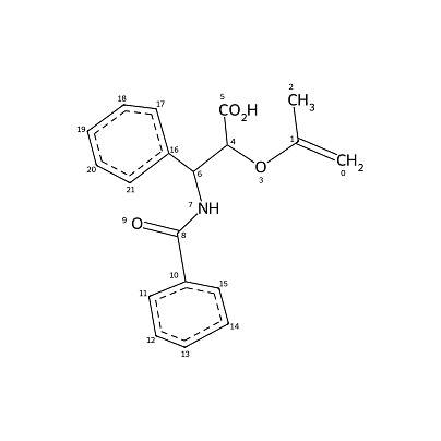 C=C(C)OC(C(=O)O)C(NC(=O)c1ccccc1)c1ccccc1